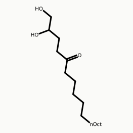 CCCCCCCCCCCCCC(=O)CCC(O)CO